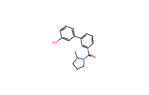 CC1CCCN1C(=O)c1cccc(-c2cccc(O)c2)c1